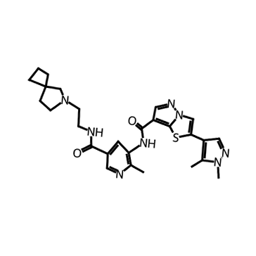 Cc1ncc(C(=O)NCCN2CCC3(CCC3)C2)cc1NC(=O)c1cnn2cc(-c3cnn(C)c3C)sc12